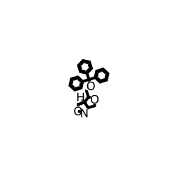 c1ccc(C(OCC2OCC3=NOC[C@@H]32)(c2ccccc2)c2ccccc2)cc1